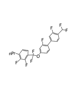 CCCc1ccc(C(F)(F)Oc2ccc(-c3ccc(C(F)F)c(F)c3)c(F)c2)c(F)c1F